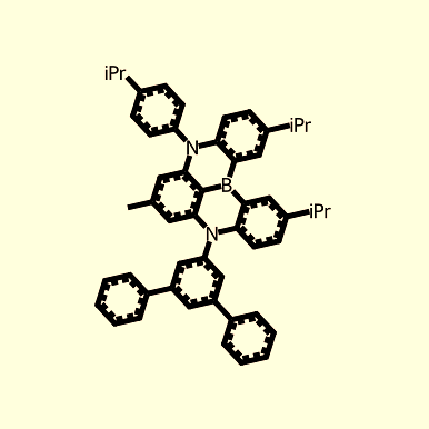 Cc1cc2c3c(c1)N(c1cc(-c4ccccc4)cc(-c4ccccc4)c1)c1ccc(C(C)C)cc1B3c1cc(C(C)C)ccc1N2c1ccc(C(C)C)cc1